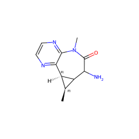 C[C@@H]1C2C(N)C(=O)N(C)c3nccnc3[C@@H]21